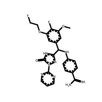 COc1cc(C(Nc2ccc(C(=N)N)cc2)c2nn(-c3ncccn3)c(=O)[nH]2)cc(OCCF)c1F